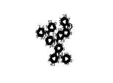 c1ccc(N(c2ccccc2)c2cccc(N(c3ccc4c(ccc5oc6ccccc6c54)c3)c3ccc4c(c3)c3ccccc3n4-c3ccccc3)c2)cc1